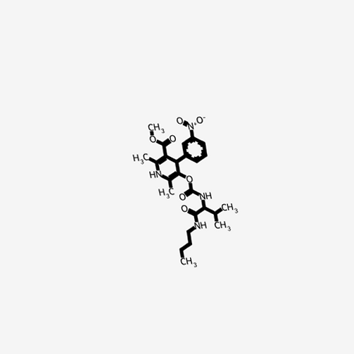 CCCCNC(=O)C(NC(=O)OC1=C(C)NC(C)=C(C(=O)OC)C1c1cccc([N+](=O)[O-])c1)C(C)C